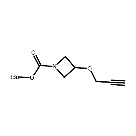 C#CCOC1CN(C(=O)OC(C)(C)C)C1